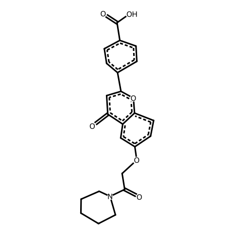 O=C(O)c1ccc(-c2cc(=O)c3cc(OCC(=O)N4CCCCC4)ccc3o2)cc1